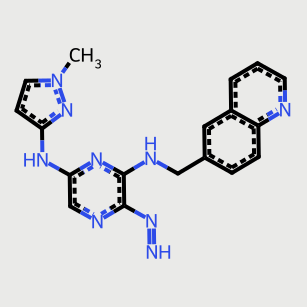 Cn1ccc(Nc2cnc(N=N)c(NCc3ccc4ncccc4c3)n2)n1